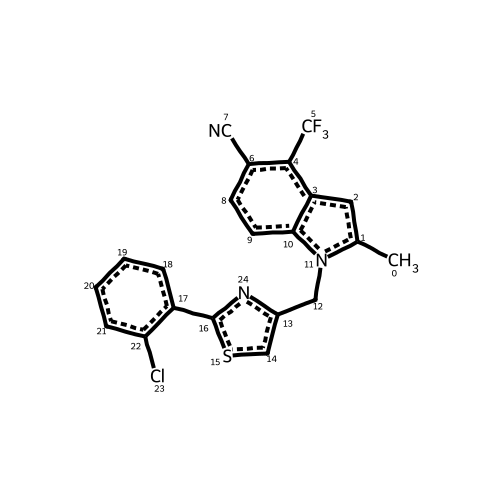 Cc1cc2c(C(F)(F)F)c(C#N)ccc2n1Cc1csc(-c2ccccc2Cl)n1